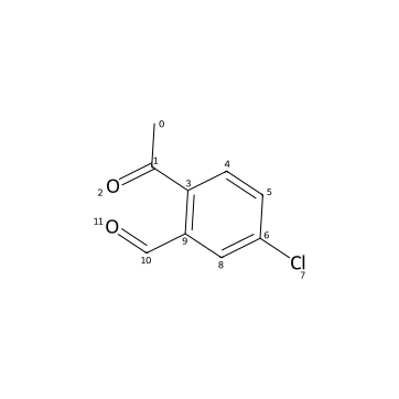 CC(=O)c1ccc(Cl)cc1C=O